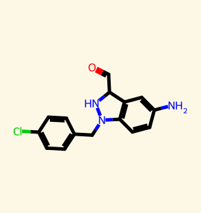 Nc1ccc2c(c1)C(C=O)NN2Cc1ccc(Cl)cc1